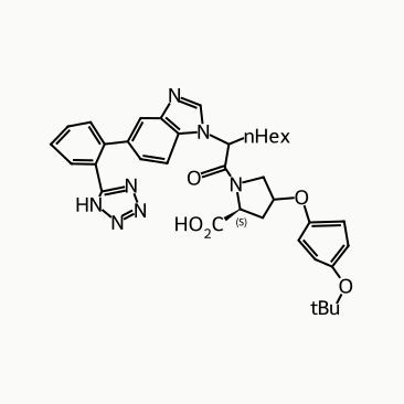 CCCCCCC(C(=O)N1CC(Oc2ccc(OC(C)(C)C)cc2)C[C@H]1C(=O)O)n1cnc2cc(-c3ccccc3-c3nnn[nH]3)ccc21